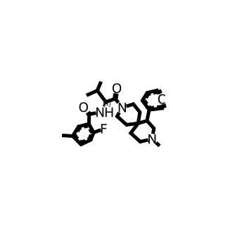 Cc1ccc(F)c(C(=O)N[C@@H](C(=O)N2CCC3(CCN(C)CC3c3ccccc3)CC2)C(C)C)c1